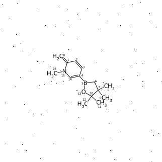 C=C1C=CC(B2CC(C)(C)C(C)(C)O2)=CN1C